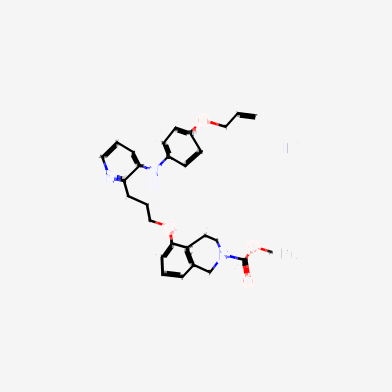 C=CCOc1ccc(Nc2cccnc2CCCOc2cccc3c2CCN(C(=O)OC(C)(C)C)C3)cc1.I